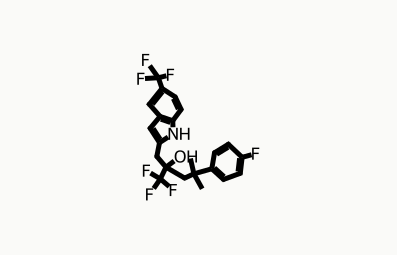 CC(C)(CC(O)(Cc1cc2cc(C(F)(F)F)ccc2[nH]1)C(F)(F)F)c1ccc(F)cc1